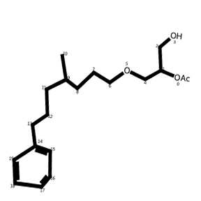 CC(=O)OC(CO)COCCCC(C)CCCc1ccccc1